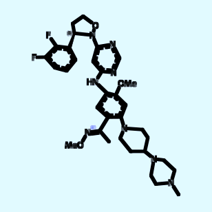 CO/N=C(\C)c1cc(Nc2cc(N3OCC[C@@H]3c3cccc(F)c3F)ncn2)c(OC)cc1N1CCC(N2CCN(C)CC2)CC1